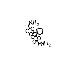 C[C@H](N)C(=O)OC(=O)C1(C(=O)OC(=O)[C@H](C)N)CCCCC1